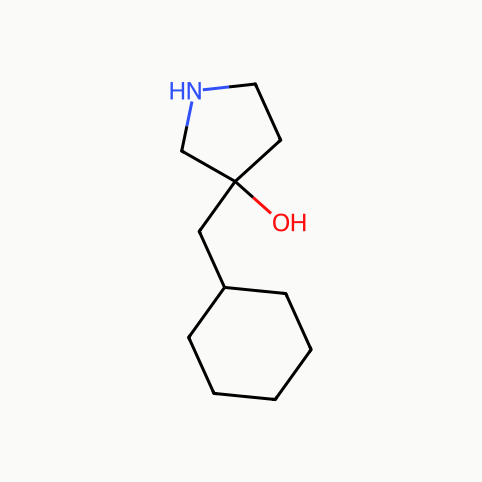 OC1(CC2CCCCC2)CCNC1